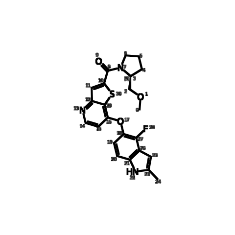 COC[C@@H]1CCCN1C(=O)c1cc2nccc(Oc3ccc4[nH]c(C)cc4c3F)c2s1